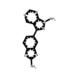 Nc1nc2cc(-c3nn(N)c4ncncc34)ccc2o1